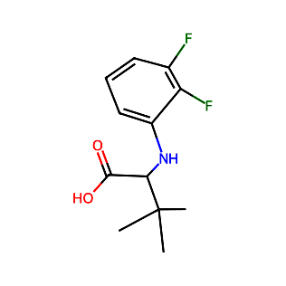 CC(C)(C)C(Nc1cccc(F)c1F)C(=O)O